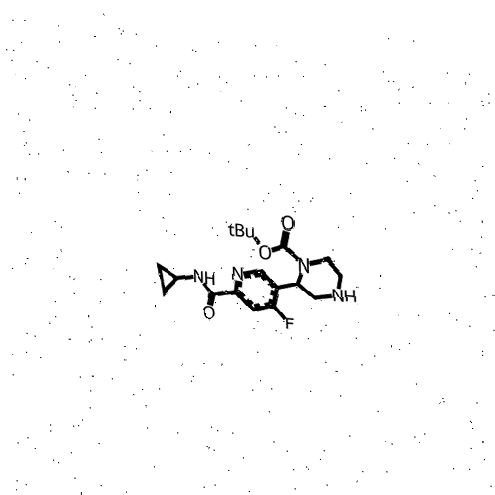 CC(C)(C)OC(=O)N1CCNCC1c1cnc(C(=O)NC2CC2)cc1F